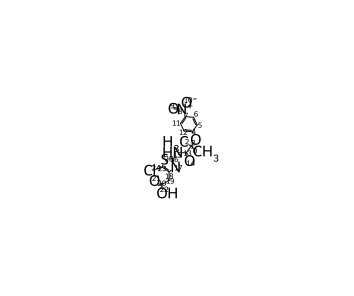 CC(C)(Oc1ccc([N+](=O)[O-])cc1)C(=O)Nc1nc(CC(=O)O)c(Cl)s1